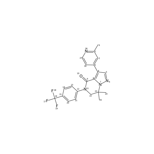 Cc1cc(-c2cnn3c2C(=O)N(c2ccc(C(F)(F)F)cc2)CC3(C)C)ccn1